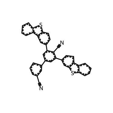 N#Cc1cccc(-c2cc(-c3ccc4c(c3)sc3ccccc34)c(C#N)c(-c3ccc4sc5ccccc5c4c3)c2)c1